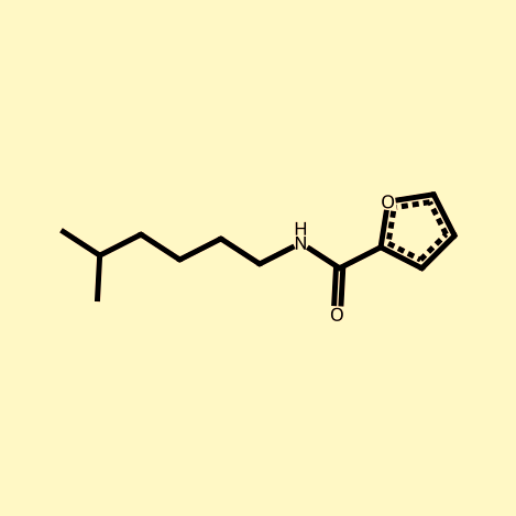 CC(C)CCCCNC(=O)c1ccco1